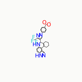 COC(=O)c1ccc(-n2cc(C3Nc4ccc5[nH]ncc5c4C4=C3CCCC4)c(C(F)(F)F)n2)cc1